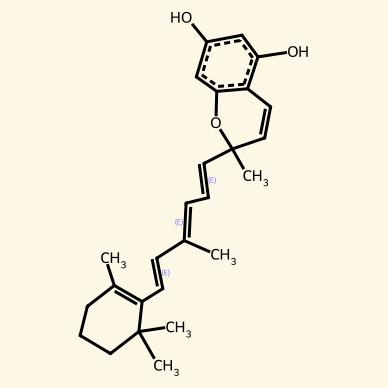 CC1=C(/C=C/C(C)=C/C=C/C2(C)C=Cc3c(O)cc(O)cc3O2)C(C)(C)CCC1